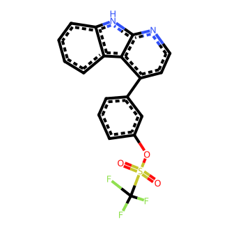 O=S(=O)(Oc1cccc(-c2ccnc3[nH]c4ccccc4c23)c1)C(F)(F)F